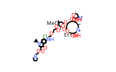 CC[C@H]1OC(=O)[C@H](C)[C@@H](O[C@H]2C[C@@](C)(OC)[C@@H](OC(=O)CCOCCNc3cc4c(=O)c(C(=O)OCCN5CCCC5)cn(C5CC5)c4cc3Cl)[C@H](C)O2)[C@H](C)[C@@H](O[C@@H]2O[C@H](C)C[C@H](N(C)C)[C@H]2O)[C@](C)(O)C[C@@H](C)CN(C)[C@H](C)[C@@H](O)[C@]1(C)O